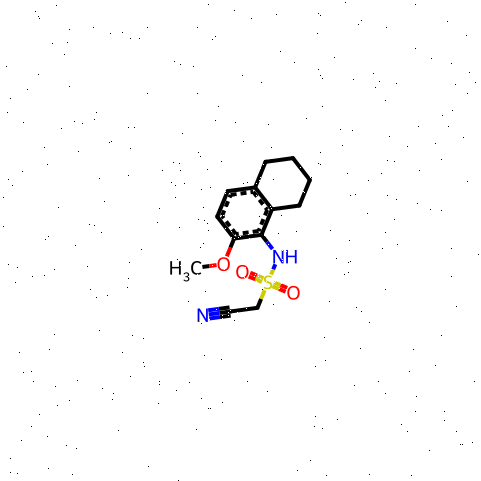 COc1ccc2c(c1NS(=O)(=O)CC#N)CCCC2